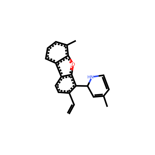 C=Cc1ccc2c(oc3c(C)cccc32)c1C1C=C(C)C=CN1